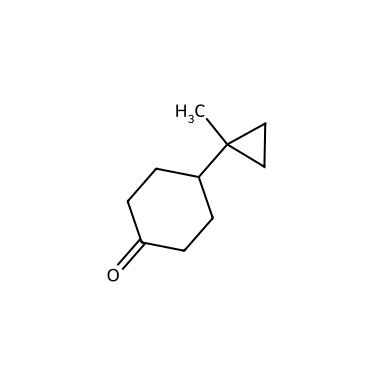 CC1(C2CCC(=O)CC2)CC1